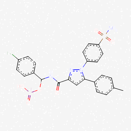 Cc1ccc(-c2cc(C(=O)NC(O[PH](=O)O)c3ccc(Br)cc3)nn2-c2ccc(S(N)(=O)=O)cc2)cc1